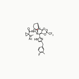 CC(=O)N(C)C1(C(=O)NC23CCC(CC2)Cn2c3nc(-c3nc(Cc4ccc(F)c(C)c4)c[nH]3)c(OC(=O)C(F)(F)F)c2=O)CC1